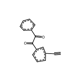 C#Cc1cccc(C(=O)C(=O)c2ccccc2)c1